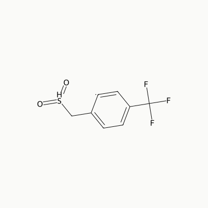 O=[SH](=O)Cc1[c]cc(C(F)(F)F)cc1